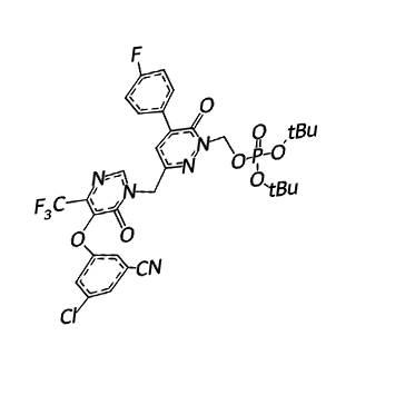 CC(C)(C)OP(=O)(OCn1nc(Cn2cnc(C(F)(F)F)c(Oc3cc(Cl)cc(C#N)c3)c2=O)cc(-c2ccc(F)cc2)c1=O)OC(C)(C)C